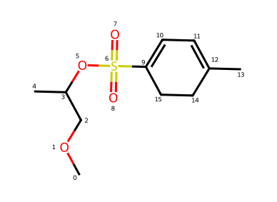 COCC(C)OS(=O)(=O)C1=CC=C(C)CC1